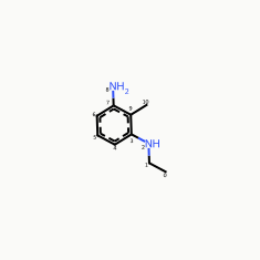 CCNc1cccc(N)c1C